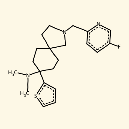 CN(C)C1(c2cccs2)CCC2(CCN(Cc3ccc(F)cn3)C2)CC1